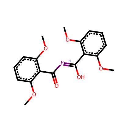 COc1cccc(OC)c1C(=O)/P=C(\O)c1c(OC)cccc1OC